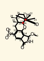 COC1NC(=O)c2cc([N+](=O)[O-])c3c(c21)O[C@@]12CCC(=O)C(C)(C)[C@@H]1CC[C@H](C)[C@@]2(C)C3